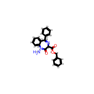 NN1C(=O)C(C(=O)OCc2ccccc2)N=C(c2ccccc2)c2ccccc21